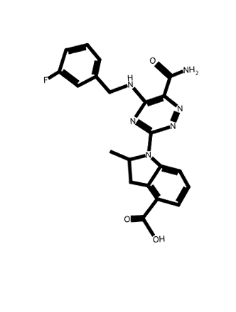 CC1Cc2c(C(=O)O)cccc2N1c1nnc(C(N)=O)c(NCc2cccc(F)c2)n1